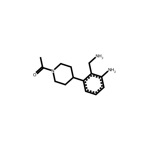 CC(=O)N1CCC(c2cccc(N)c2CN)CC1